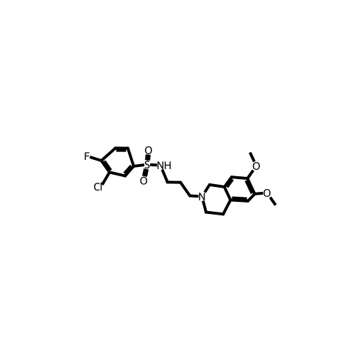 COc1cc2c(cc1OC)CN(CCCNS(=O)(=O)c1ccc(F)c(Cl)c1)CC2